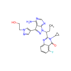 CCC(c1nc2cccc(F)c2c(=O)n1C1CC1)n1nc(-c2cnn(CCO)c2)c2c(N)ncnc21